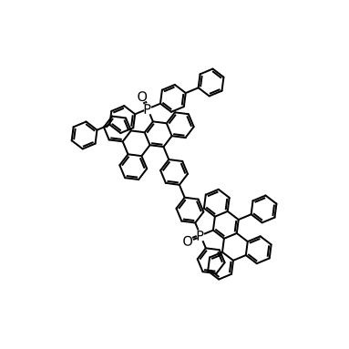 O=P(c1ccccc1)(c1ccc(-c2ccc(-c3c4ccccc4c(P(=O)(c4ccc(-c5ccccc5)cc4)c4ccc(-c5ccccc5)cc4)c4c5ccccc5c5ccccc5c34)cc2)cc1)c1c2ccccc2c(-c2ccccc2)c2c3ccccc3c3ccccc3c12